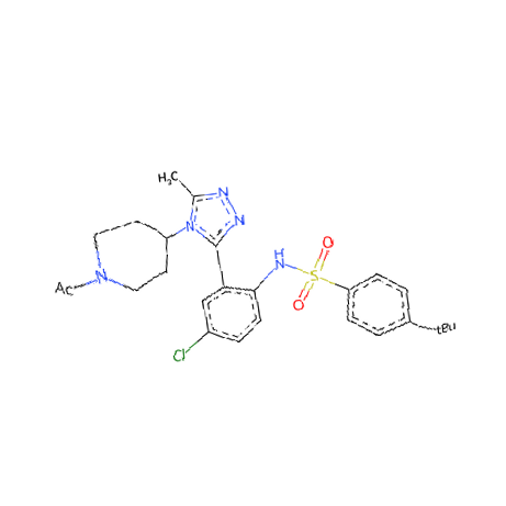 CC(=O)N1CCC(n2c(C)nnc2-c2cc(Cl)ccc2NS(=O)(=O)c2ccc(C(C)(C)C)cc2)CC1